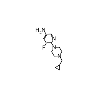 Nc1cnc(N2CCN(CC3CC3)CC2)c(F)c1